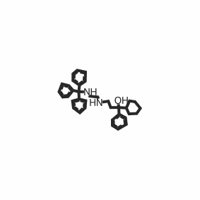 OC(CCNCCNC(c1ccccc1)(c1ccccc1)c1ccccc1)(c1ccccc1)C1CCCCC1